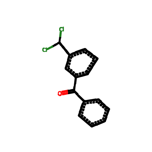 O=C(c1ccccc1)c1cccc(C(Cl)Cl)c1